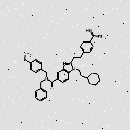 N=C(N)c1ccc(CCc2nc3cc(C(=O)N(Cc4ccccc4)Cc4ccc(CN)cc4)ccc3n2CCC2CCCCC2)cc1